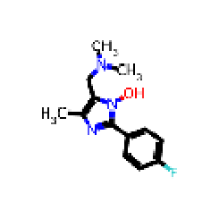 Cc1nc(-c2ccc(F)cc2)n(O)c1CN(C)C